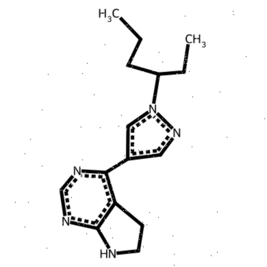 CCCC(CC)n1cc(-c2ncnc3c2CCN3)cn1